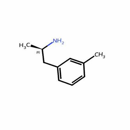 Cc1cccc(C[C@@H](C)N)c1